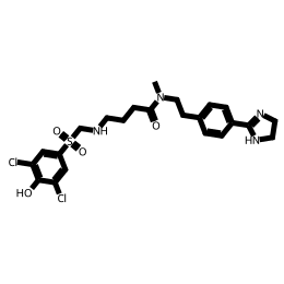 CN(CCc1ccc(C2=NCCN2)cc1)C(=O)CCCNCS(=O)(=O)c1cc(Cl)c(O)c(Cl)c1